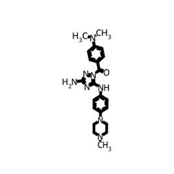 CN1CCN(c2ccc(Nc3nc(N)nn3C(=O)c3ccc(N(C)C)cc3)cc2)CC1